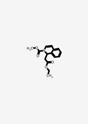 CCOC(=O)CC1c2ccccc2C=CN1C(=O)OC